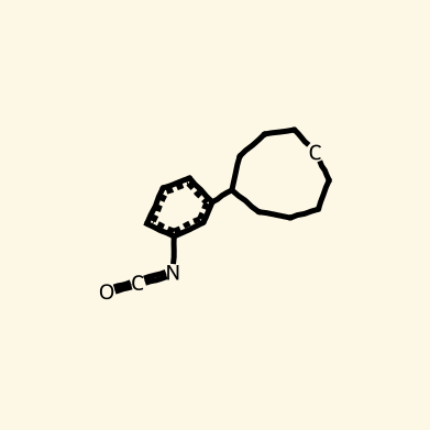 O=C=Nc1cccc(C2CCCCCCCC2)c1